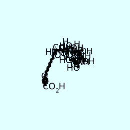 CC(=O)[C@H](CO)NC(=O)[C@H](CO)NC(=O)[C@H](CO)NC(=O)[C@H](CO)NC(=O)[C@H](CO)NC(=O)[C@H](CO)NC(=O)CC[C@H](NC(=O)CCCCCCCCCCOc1ccc(C(=O)O)cc1)C(=O)O